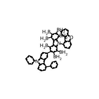 Bc1c(B)c(B)c2c(c1B)c1c(B)c(-c3ccc4c(c3)c3c(-c5ccccc5)cccc3n4-c3ccccc3)c(B)c(B)c1n2-c1cccc2oc3ccccc3c12